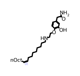 CCCCCCCC/C=C\CCCCCCCCNCCOc1ccc(CC(N)=O)cc1O